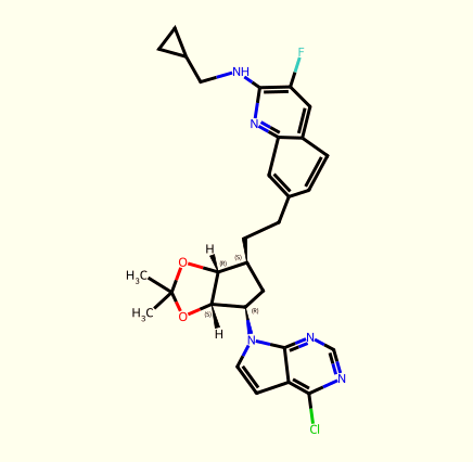 CC1(C)O[C@@H]2[C@@H](CCc3ccc4cc(F)c(NCC5CC5)nc4c3)C[C@@H](n3ccc4c(Cl)ncnc43)[C@@H]2O1